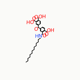 CCCCCCCCCCCCCCNC(=O)c1cc(C(=O)c2ccc(C(=O)O)c(C(=O)O)c2)ccc1C(=O)O